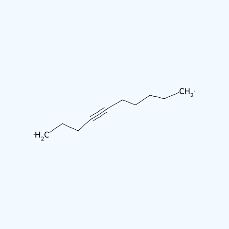 [CH2]CCC#CCCCC[CH2]